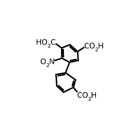 O=C(O)c1cccc(-c2cc(C(=O)O)cc(C(=O)O)c2[N+](=O)[O-])c1